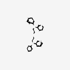 c1ccc(P(CCOCCP(c2ccccc2)c2cccnc2)c2cccnc2)cc1